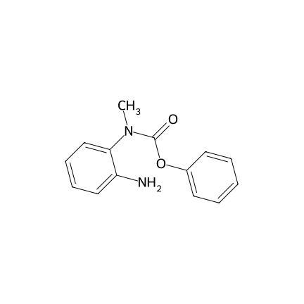 CN(C(=O)Oc1ccccc1)c1ccccc1N